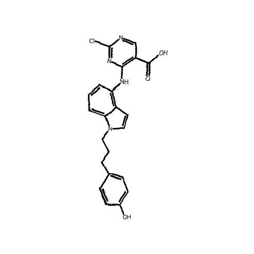 O=C(O)c1cnc(Cl)nc1Nc1cccc2c1ccn2CCCc1ccc(O)cc1